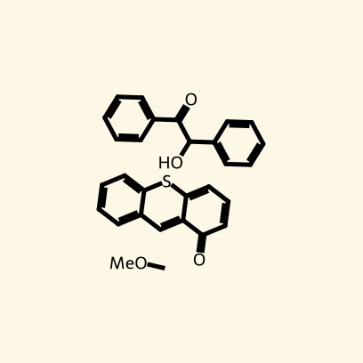 COC.O=C(c1ccccc1)C(O)c1ccccc1.O=c1cccc2sc3ccccc3cc1-2